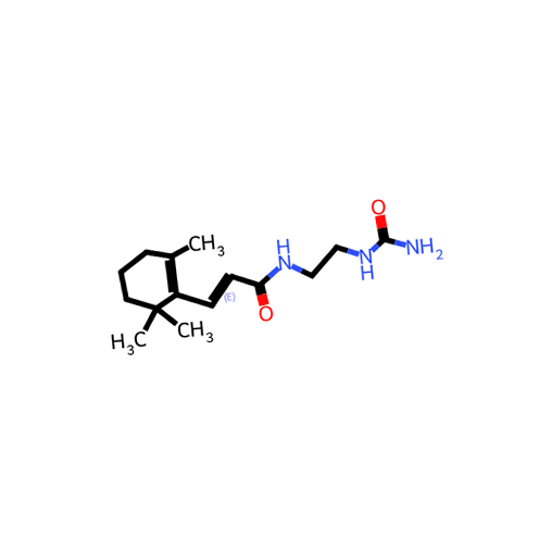 CC1=C(/C=C/C(=O)NCCNC(N)=O)C(C)(C)CCC1